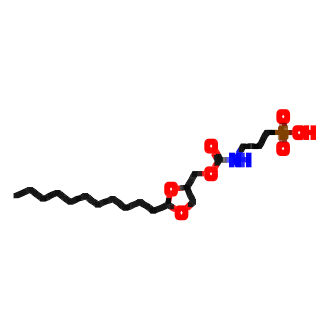 CCCCCCCCCCCC1OCC(COC(=O)NCCCS(=O)(=O)O)O1